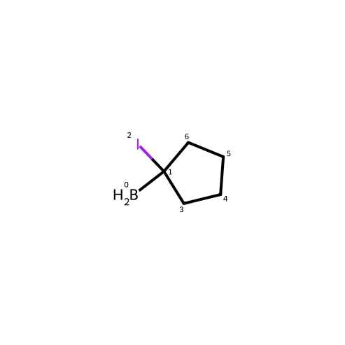 BC1(I)CCCC1